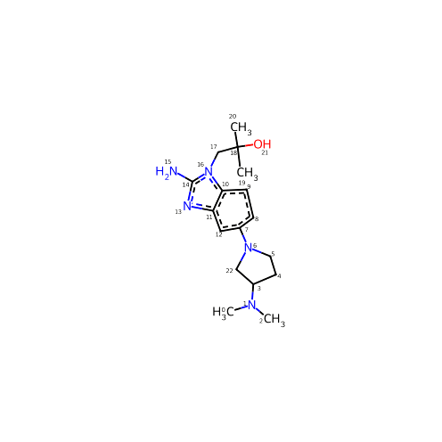 CN(C)C1CCN(c2ccc3c(c2)nc(N)n3CC(C)(C)O)C1